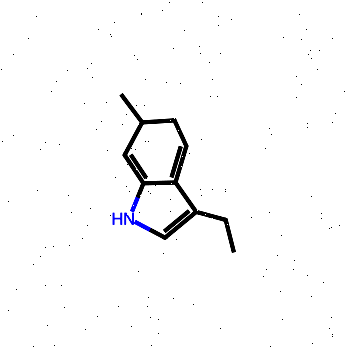 CCc1c[nH]c2c1=CCC(C)C=2